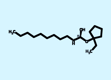 CCCCCCCCCN[C@@H](O)OC1(CC)CCCC1